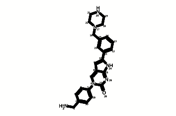 NCc1ccc(-n2cc3cc(-c4cccc(CN5CCNCC5)c4)[nH]c3nc2=O)cc1